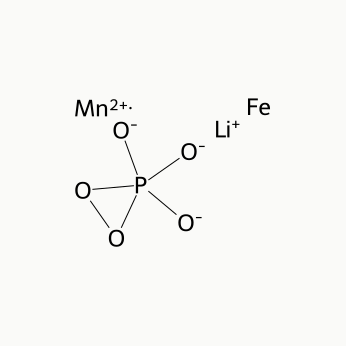 [Fe].[Li+].[Mn+2].[O-]P1([O-])([O-])OO1